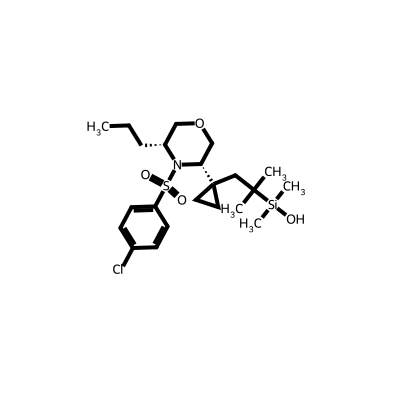 CCC[C@@H]1COC[C@H](C2(CC(C)(C)[Si](C)(C)O)CC2)N1S(=O)(=O)c1ccc(Cl)cc1